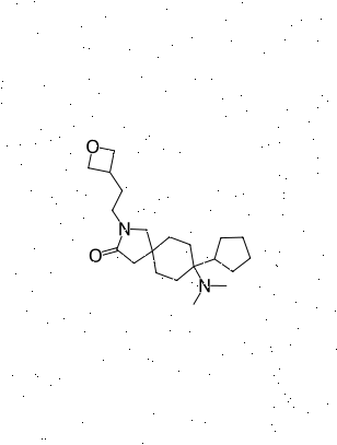 CN(C)C1(C2CCCC2)CCC2(CC1)CC(=O)N(CCC1COC1)C2